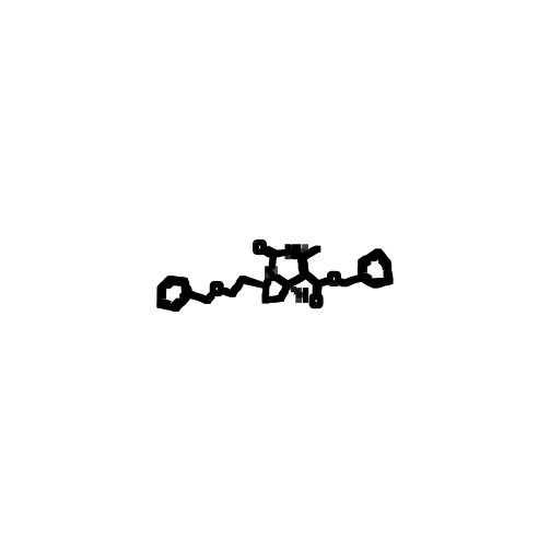 CC1=C(C(=O)OCc2ccccc2)[C@H]2CC[C@@H](CCOCc3ccccc3)N2C(=O)N1